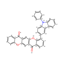 O=c1c2ccccc2oc2cc3c(=O)c4cccc(-c5ccc6c(c5)c5ccccc5n6-c5ccccc5)c4oc3cc12